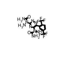 NC(=O)N(N)c1nnc(-c2cc(C(F)(F)F)ccc2C(F)(F)F)c(N(N)C(N)=O)n1